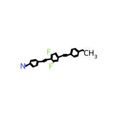 CCc1ccc(C#Cc2cc(F)c(C#Cc3ccc(C#N)cc3)c(F)c2)cc1